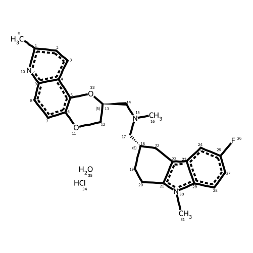 Cc1ccc2c3c(ccc2n1)OC[C@H](CN(C)C[C@H]1CCc2c(c4cc(F)ccc4n2C)C1)O3.Cl.O